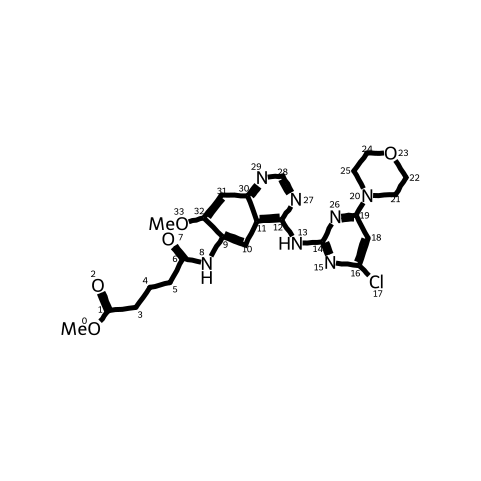 COC(=O)CCCC(=O)Nc1cc2c(Nc3nc(Cl)cc(N4CCOCC4)n3)ncnc2cc1OC